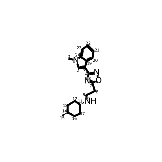 Cn1cc(-c2noc(CCN[C@H]3CC[C@H](C)CC3)n2)c2ccccc21